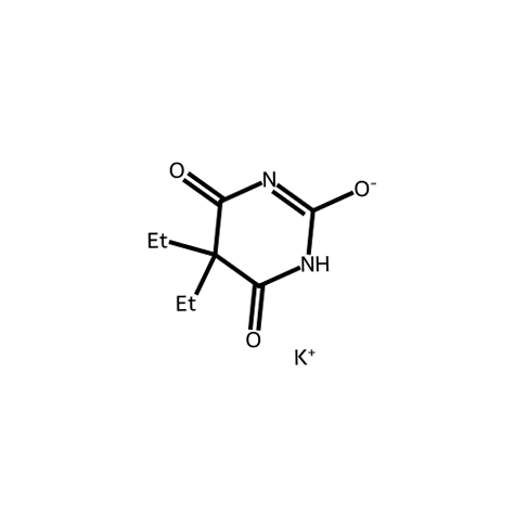 CCC1(CC)C(=O)N=C([O-])NC1=O.[K+]